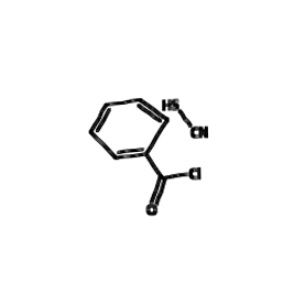 N#CS.O=C(Cl)c1ccccc1